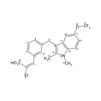 CC/C(=C/c1cccc(Cc2c(C)n(C)c3ccc(OC(F)(F)F)cc23)c1)C(=O)O